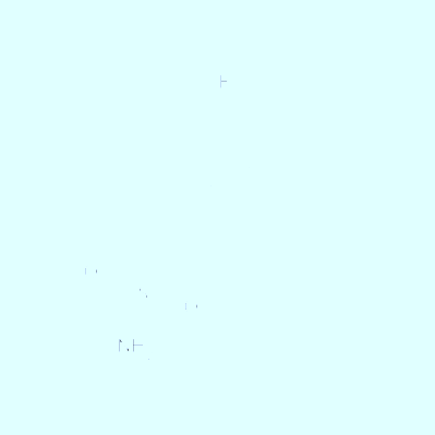 NS(=O)(=O)c1cccc(-c2ccccc2F)c1